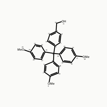 COc1ccc(C(c2ccc(CO)cc2)(c2ccc(OC)cc2)c2ccc(OC)cc2)cc1